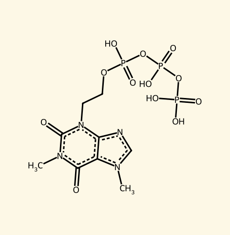 Cn1c(=O)c2c(ncn2C)n(CCOP(=O)(O)OP(=O)(O)OP(=O)(O)O)c1=O